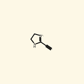 [C]#CC1=[N+]CCN1